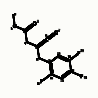 COC(=O)CC(=C=O)Cc1cc(F)c(F)cc1F